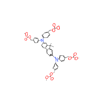 COC(=O)OCc1ccc(N(c2ccc(COC(=O)OC)cc2)c2ccc3c(c2)C(C)(C)c2cc(N(c4ccc(COC(=O)OC)cc4)c4ccc(COC(=O)OC)cc4)ccc2-3)cc1